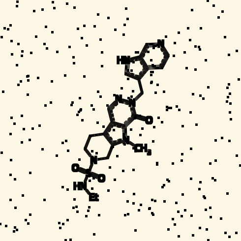 CCNS(=O)(=O)N1CCc2c(n(C)c3c(=O)n(Cc4c[nH]c5cnccc45)ncc23)C1